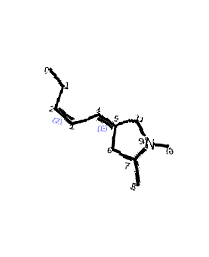 CC/C=C\C=C1/CC(C)N(C)C1